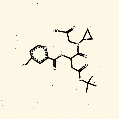 CC(C)(C)OC(=O)CC(NC(=O)c1cc(Cl)ccn1)C(=O)N(CC(=O)O)C1CC1